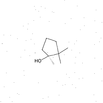 CC1(C)CCC[C@]1(C)O